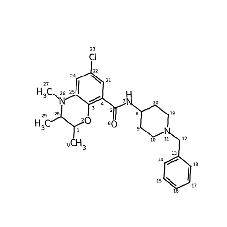 CC1Oc2c(C(=O)NC3CCN(Cc4ccccc4)CC3)cc(Cl)cc2N(C)C1C